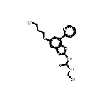 CCCCOc1cc(-c2ccccn2)c2sc(NC(=O)NCC)nc2c1